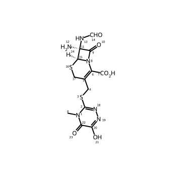 Cn1c(SCC2=C(C(=O)O)N3C(=O)[C@](N)(NC=O)[C@@H]3SC2)nnc(O)c1=O